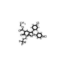 CCOC(=O)c1cc2c(-c3ccc(Cl)cc3)n(-c3ccc(Cl)cc3)nc2n(CCC(F)(F)F)c1=O